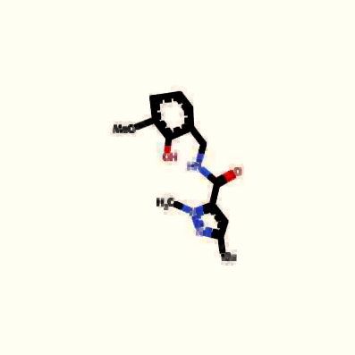 COc1cccc(CNC(=O)c2cc(C(C)(C)C)nn2C)c1O